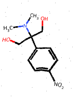 CN(C)C(CO)(CO)c1ccc([N+](=O)[O-])cc1